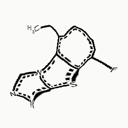 Cc1ccc(F)c2sc3nncn3c12